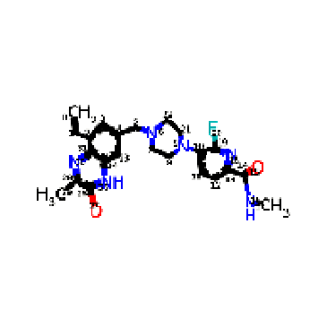 C=Cc1cc(CN2CCN(c3ccc(C(=O)NC)nc3F)CC2)cc2[nH]c(=O)c(C)nc12